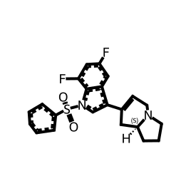 O=S(=O)(c1ccccc1)n1cc(C2=CCN3CCC[C@H]3C2)c2cc(F)cc(F)c21